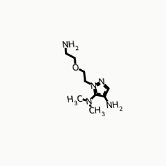 CN(C)c1c(N)cnn1CCOCCN